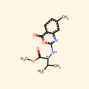 COC(=O)[C@@H](Nc1nc2cc(C)ccc2c(=O)o1)C(C)C